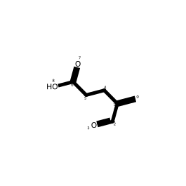 C=C([C]=O)CCC(=O)O